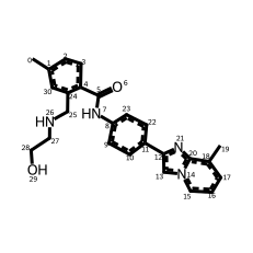 Cc1ccc(C(=O)Nc2ccc(-c3cn4cccc(C)c4n3)cc2)c(CNCCO)c1